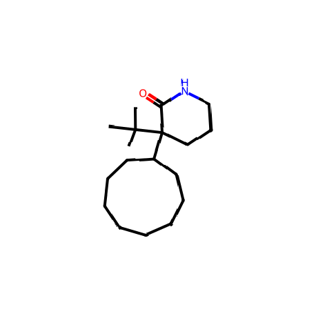 CC(C)(C)C1(C2CCCCCCCC2)CCCNC1=O